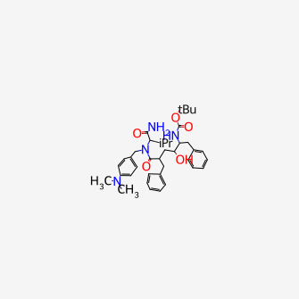 CC(C)C(C(N)=O)N(Cc1ccc(N(C)C)cc1)C(=O)C(Cc1ccccc1)CC(O)C(Cc1ccccc1)NC(=O)OC(C)(C)C